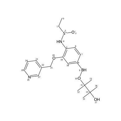 CC[S+]([O-])Nc1ccc(BOC(C)(C)C(C)(C)O)cc1OCc1cccnc1